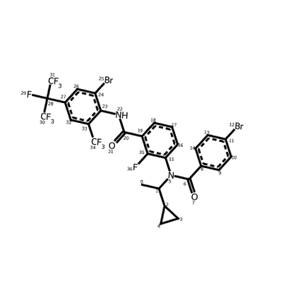 CC(C1CC1)N(C(=O)c1ccc(Br)cc1)c1cccc(C(=O)Nc2c(Br)cc(C(F)(C(F)(F)F)C(F)(F)F)cc2C(F)(F)F)c1F